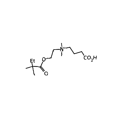 CCC(C)(C)C(=O)OCC[N+](C)(C)CCCC(=O)O